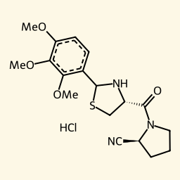 COc1ccc(C2N[C@H](C(=O)N3CCC[C@H]3C#N)CS2)c(OC)c1OC.Cl